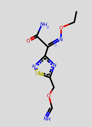 CCO/N=C(\C(N)=O)c1nsc(COC=N)n1